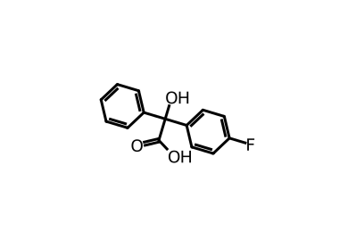 O=C(O)C(O)(c1ccccc1)c1ccc(F)cc1